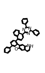 C1=Cc2cc3oc4c(-c5ccccc5)ccc(-c5ccc(-c6nc(-c7ccccc7)nc(-c7ccccc7)n6)c6ccccc56)c4c3cc2NC1